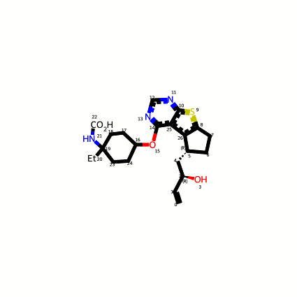 C=C[C@H](O)C[C@H]1CCc2sc3ncnc(OC4CCC(CC)(NC(=O)O)CC4)c3c21